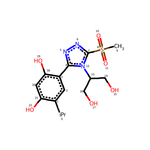 CC(C)c1cc(-c2nnc(S(C)(=O)=O)n2C(CO)CO)c(O)cc1O